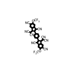 N#CC(C#N)=C1C(c2ccc(C3=C(C#N)c4cc(OC(F)(F)F)c(C#N)cc4C3=C(C#N)C#N)cc2)=C(C#N)c2cc(OC(F)(F)F)c(C#N)cc21